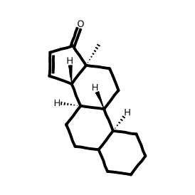 C[C@]12CC[C@H]3[C@@H](CCC4CCCC[C@@H]43)[C@@H]1C=CC2=O